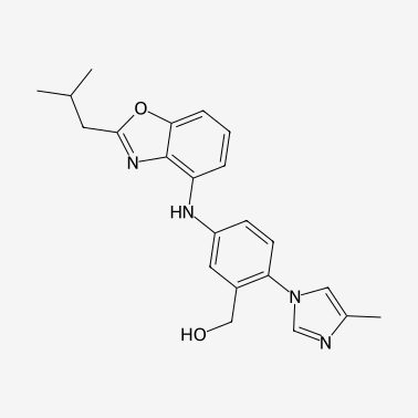 Cc1cn(-c2ccc(Nc3cccc4oc(CC(C)C)nc34)cc2CO)cn1